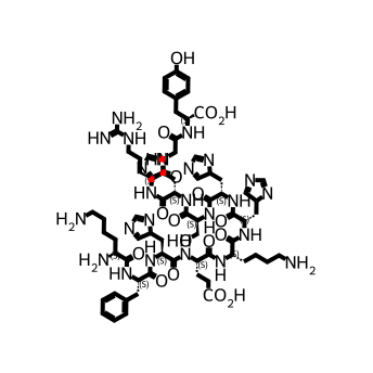 N=C(N)NCCC[C@H](NC(=O)[C@H](CC1C=NC=N1)NC(=O)[C@H](CO)NC(=O)[C@H](CC1C=NC=N1)NC(=O)[C@H](CC1C=NC=N1)NC(=O)[C@H](CCCCN)NC(=O)[C@H](CCC(=O)O)NC(=O)[C@H](CC1C=NC=N1)NC(=O)[C@H](Cc1ccccc1)NC(=O)[C@@H](N)CCCCN)C(=O)NCC(=O)N[C@@H](Cc1ccc(O)cc1)C(=O)O